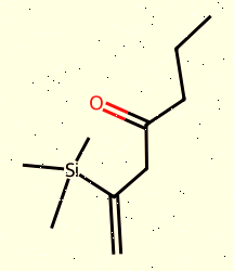 C=C(CC(=O)CCC)[Si](C)(C)C